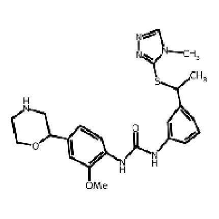 COc1cc(C2CNCCO2)ccc1NC(=O)Nc1cccc(C(C)Sc2nncn2C)c1